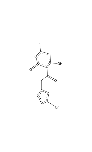 Cc1cc(O)c(C(=O)Cc2cc(Br)cs2)c(=O)o1